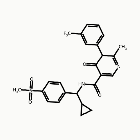 CC1=NC=C(C(=O)NC(c2ccc(S(C)(=O)=O)cc2)C2CC2)C(=O)C1c1cccc(C(F)(F)F)c1